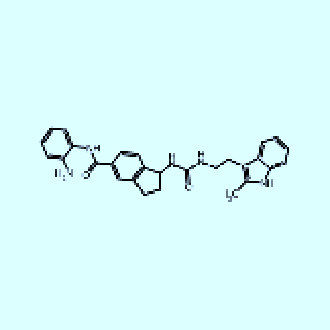 Cc1[nH]c2ccccc2c1CCNC(=O)NC1CCc2cc(C(=O)Nc3ccccc3N)ccc21